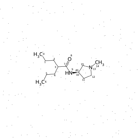 CCCC(CCC)C(=O)N[C@@H]1CCN(C)C1